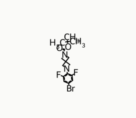 CC(C)(C)OC(=O)N1CC2(C1)CN(c1c(F)cc(Br)cc1F)C2